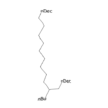 [CH2]CCCC(CCCCCCCCCCC)CCCCCCCCCCCCCCCCCCC